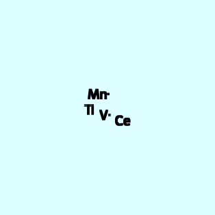 [Ce].[Mn].[Ti].[V]